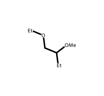 [CH2]COCC(CC)OC